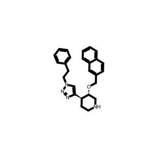 c1ccc(CCn2cc([C@@H]3CCNC[C@H]3OCc3ccc4ccccc4c3)nn2)cc1